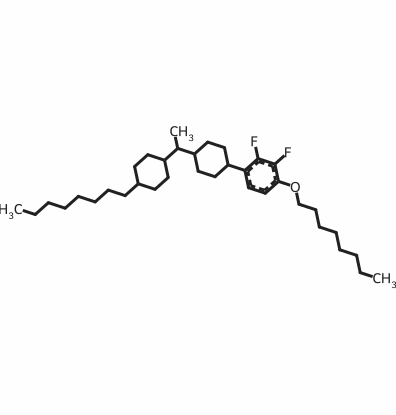 CCCCCCCCOc1ccc(C2CCC(C(C)C3CCC(CCCCCCCC)CC3)CC2)c(F)c1F